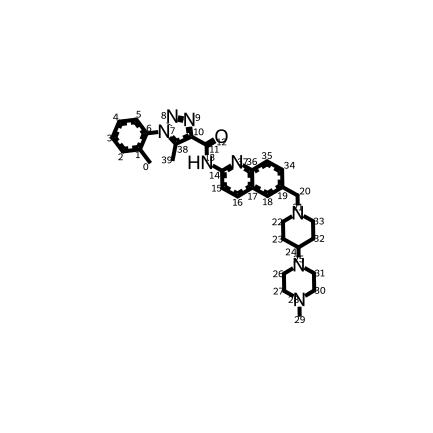 Cc1ccccc1-n1nnc(C(=O)Nc2ccc3cc(CN4CCC(N5CCN(C)CC5)CC4)ccc3n2)c1C